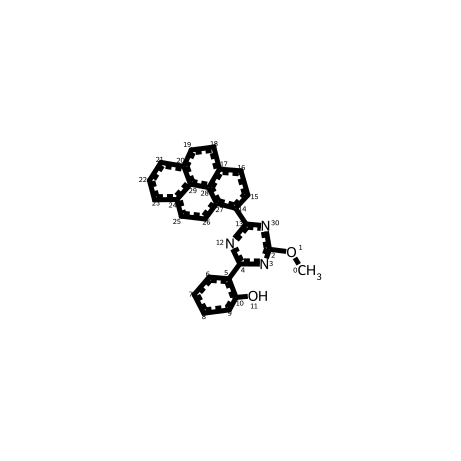 COc1nc(-c2ccccc2O)nc(-c2ccc3ccc4cccc5ccc2c3c45)n1